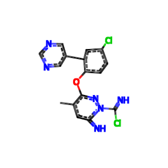 Cc1cc(=N)n(C(=N)Cl)nc1Oc1ccc(Cl)cc1-c1cncnc1